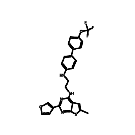 Cc1cc2c(NCCNc3ccc(-c4ccc(OC(F)(F)F)cc4)cc3)nc(-c3ccoc3)nc2s1